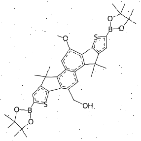 COc1cc2c3c(c(CO)cc2c2c1-c1sc(B4OC(C)(C)C(C)(C)O4)cc1C2(C)C)-c1sc(B2OC(C)(C)C(C)(C)O2)cc1C3(C)C